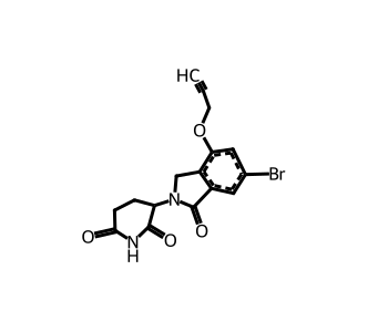 C#CCOc1cc(Br)cc2c1CN(C1CCC(=O)NC1=O)C2=O